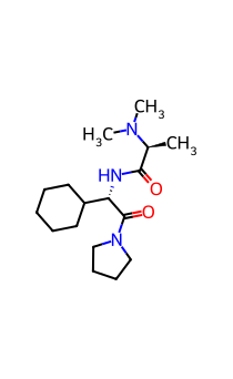 C[C@@H](C(=O)N[C@H](C(=O)N1CCCC1)C1CCCCC1)N(C)C